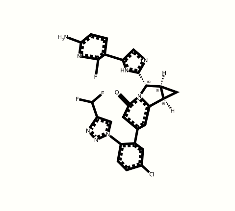 Nc1ccc(-c2cnc([C@@H]3[C@H]4C[C@H]4c4cc(-c5cc(Cl)ccc5-n5cc(C(F)F)nn5)cc(=O)n43)[nH]2)c(F)n1